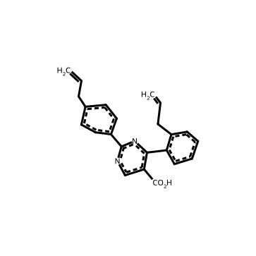 C=CCc1ccc(-c2ncc(C(=O)O)c(-c3ccccc3CC=C)n2)cc1